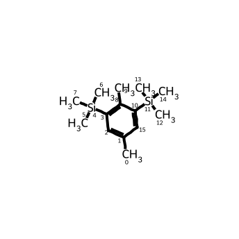 Cc1cc([Si](C)(C)C)c(C)c([Si](C)(C)C)c1